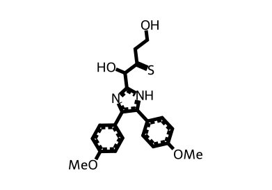 COc1ccc(-c2nc(C(O)C(=S)CCO)[nH]c2-c2ccc(OC)cc2)cc1